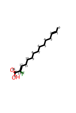 C/C=C/CCCCCCCCCC=C(F)C(=O)O